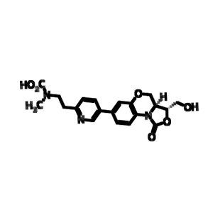 CN(CCc1ccc(-c2ccc3c(c2)OC[C@H]2[C@H](CO)OC(=O)N32)cn1)C(=O)O